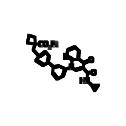 CCOC(=O)C1(Cc2ccc(-c3cccc(-n4cc(C(=O)NC5CC5)c(=O)c5cccnc54)c3)cc2)CCC1